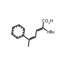 CCCC/C(=C\C=C(\C)c1ccccc1)C(=O)O